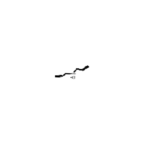 C=CCPCC=C.Cl